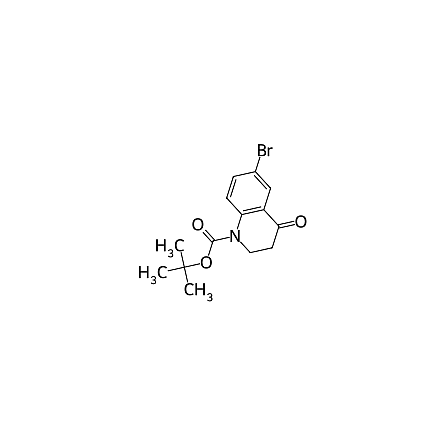 CC(C)(C)OC(=O)N1CCC(=O)c2cc(Br)ccc21